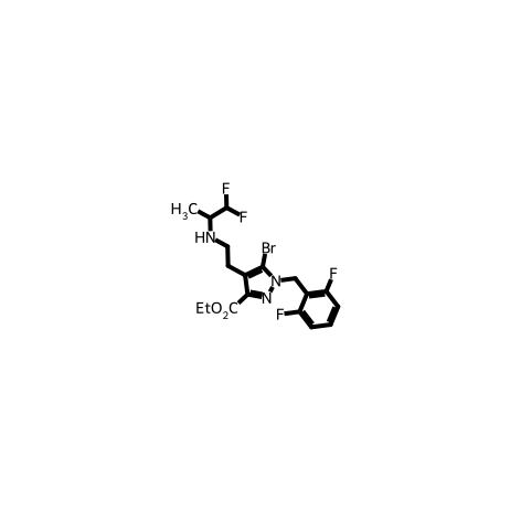 CCOC(=O)c1nn(Cc2c(F)cccc2F)c(Br)c1CCNC(C)C(F)F